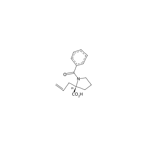 C=CC[C@@]1(C(=O)O)CCCN1C(=O)c1ccccc1